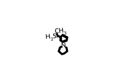 C[SiH2]c1cccc(N2CCCCCC2)c1